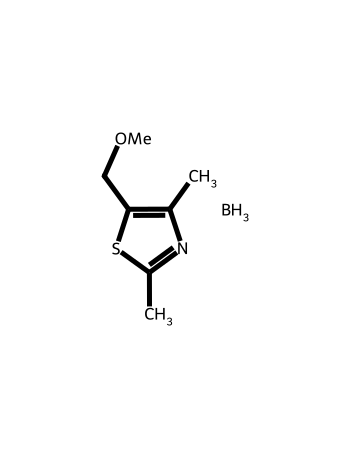 B.COCc1sc(C)nc1C